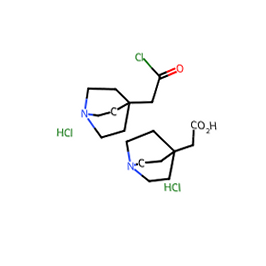 Cl.Cl.O=C(Cl)CC12CCN(CC1)CC2.O=C(O)CC12CCN(CC1)CC2